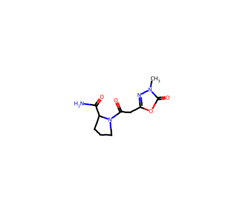 Cn1nc(CC(=O)N2CCCC2C(N)=O)oc1=O